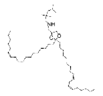 CCCCC/C=C\C/C=C\CCCCCCCCC1(CCCCCCCC/C=C\C/C=C\CCCCC)OCC(CNCC(C)(C)CC(C)C)O1